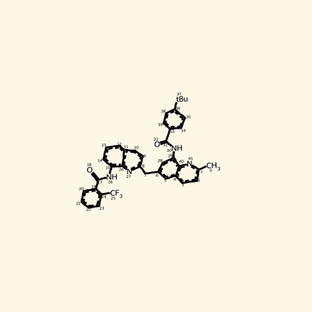 Cc1ccc2cc(Cc3ccc4cccc(NC(=O)c5ccccc5C(F)(F)F)c4n3)cc(NC(=O)c3ccc(C(C)(C)C)cc3)c2n1